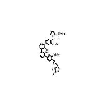 COc1cc(-c2nccc(-c3cccc(-c4ccc(CNC[C@@H]5CCC(=O)N5)c(OC)n4)c3Cl)c2Cl)ccc1CN1CCC[C@H]1C(=O)OC(C)C